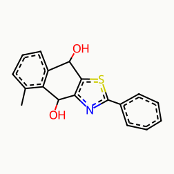 Cc1cccc2c1C(O)c1nc(-c3ccccc3)sc1C2O